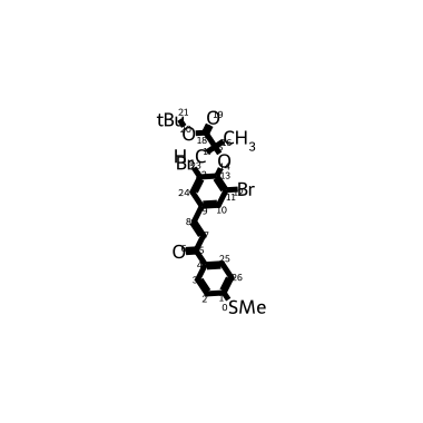 CSc1ccc(C(=O)C=Cc2cc(Br)c(OC(C)(C)C(=O)OC(C)(C)C)c(Br)c2)cc1